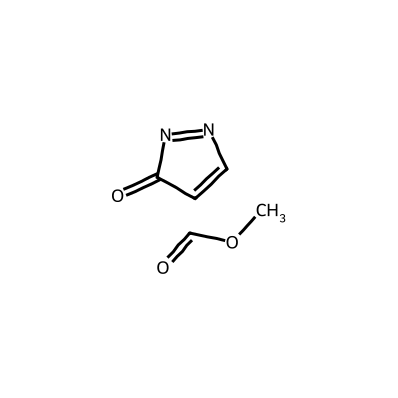 COC=O.O=C1C=CN=N1